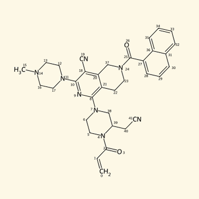 C=CC(=O)N1CCN(c2nc(N3CCN(C)CC3)c(C#N)c3c2CCN(C(=O)c2cccc4ccccc24)C3)CC1CC#N